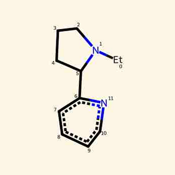 CCN1CCCC1c1ccccn1